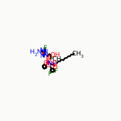 C#C[C@]1(CO[P@@](=O)(N[C@@H](Cc2cc(F)cc(F)c2)C(=O)OCCCCCCCCCCCC)Oc2ccccc2)O[C@@H](n2cnc3c(N)nc(F)nc32)C[C@@H]1O